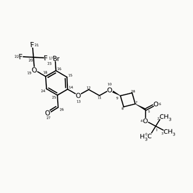 CC(C)(C)OC(=O)[C@H]1C[C@@H](OCCOc2cc(Br)c(OC(F)(F)F)cc2C=O)C1